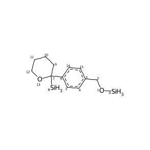 [SiH3]OCc1ccc(C2([SiH3])CCCCO2)cc1